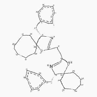 c1ccc(C[C@@H]2N=C(CC3=N[C@@H](Cc4ccccc4)C4(CCCCCC4)O3)OC23CCCCCC3)cc1